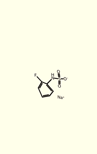 O=S(=O)([O-])Nc1ccccc1F.[Na+]